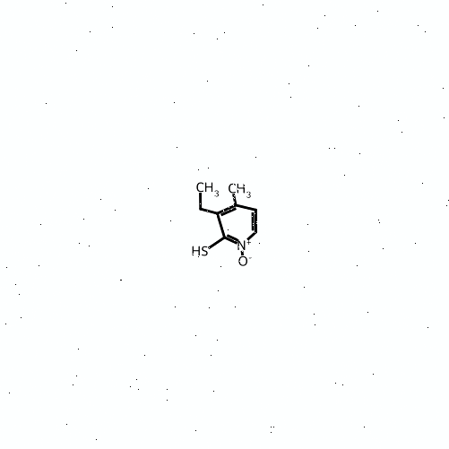 CCc1c(C)cc[n+]([O-])c1S